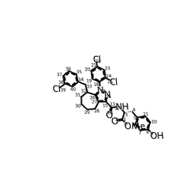 COC(=O)[C@@H](Cc1ccc(O)cc1)NC(=O)c1nn(-c2ccc(Cl)cc2Cl)c2c1CCCCC2Cc1cccc(Cl)c1